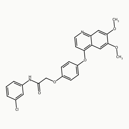 COc1cc2nccc(Oc3ccc(OCC(=O)Nc4cccc(Cl)c4)cc3)c2cc1OC